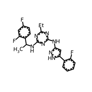 CCc1nc(Nc2cc(-c3ccccc3F)[nH]n2)nc(NC(C)c2ccc(F)cc2F)n1